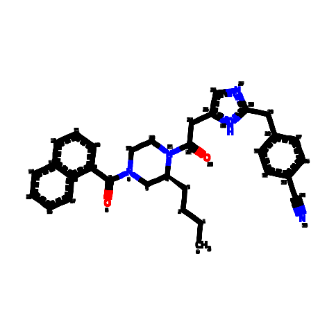 CCCC[C@H]1CN(C(=O)c2cccc3ccccc23)CCN1C(=O)Cc1cnc(Cc2ccc(C#N)cc2)[nH]1